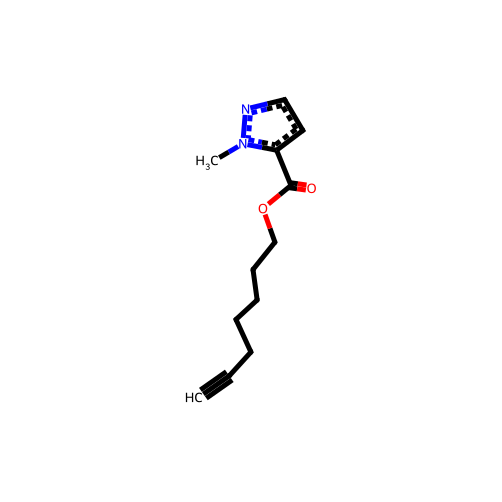 C#CCCCCCOC(=O)c1ccnn1C